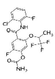 CC(Oc1cc(OC(N)=O)c(F)cc1C(=O)Nc1c(F)cccc1Cl)C(F)(F)F